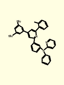 Cc1ccccc1-c1cc(-c2cc(C(C)(C)C)cc(C(C)(C)C)c2)cc(-c2cccc(N(c3ccccc3)c3ccccn3)c2)n1